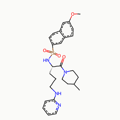 COc1ccc2cc(S(=O)(=O)N[C@@H](CCCNc3ccccn3)C(=O)N3CCC(C)CC3)ccc2c1